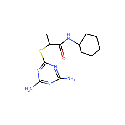 CC(Sc1nc(N)nc(N)n1)C(=O)NC1CCCCC1